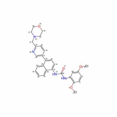 CCOc1ccc(OCC)c(NC(=O)Nc2ccc(-c3ccc(CN4CCOCC4)nc3)c3ccccc23)c1